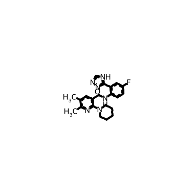 Cc1cc(C(=O)Nc2ccc(F)cc2-c2nnc[nH]2)c(N2CCCCC2)nc1C